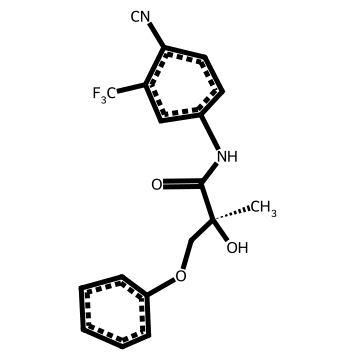 [C-]#[N+]c1ccc(NC(=O)[C@@](C)(O)COc2ccccc2)cc1C(F)(F)F